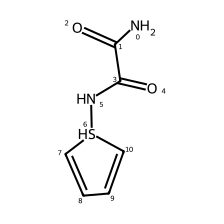 NC(=O)C(=O)N[SH]1C=CC=C1